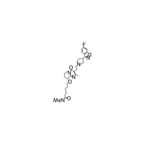 CNC(=O)CCCCCOC1CCCn2c1nc(C)c(CCN1CCC(c3noc4cc(F)ccc34)CC1)c2=O